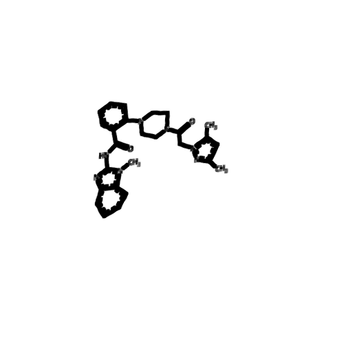 Cc1cc(C)n(CC(=O)N2CCN(c3ccccc3C(=O)Nc3nc4ccccc4n3C)CC2)n1